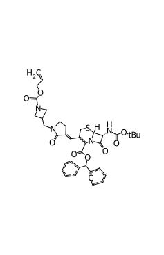 C=CCOC(=O)N1CC(CN2CC/C(=C\C3=C(C(=O)OC(c4ccccc4)c4ccccc4)N4C(=O)[C@@H](NC(=O)OC(C)(C)C)[C@H]4SC3)C2=O)C1